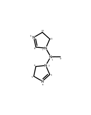 CN(N1C=NCC1)N1C=NCC1